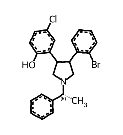 C[C@H](c1ccccc1)N1CC(c2cc(Cl)ccc2O)C(c2ccccc2Br)C1